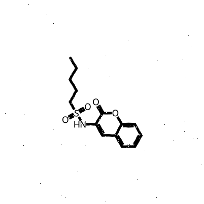 CCCCCS(=O)(=O)Nc1cc2ccccc2oc1=O